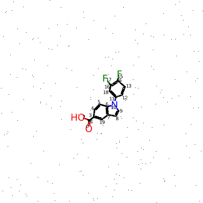 O=C(O)c1ccc2c(ccn2-c2ccc(F)c(F)c2)c1